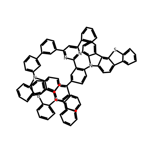 c1ccc(-c2cc(-c3ccc(-n4c5ccccc5c5c6sc7ccccc7c6ccc54)c(-c4nc(-c5ccccc5)cc(-c5cccc(-c6cccc(N7c8ccccc8B8c9ccccc9N(c9ccccc9)c9cccc7c98)c6)c5)n4)c3)nc(-c3ccccc3)n2)cc1